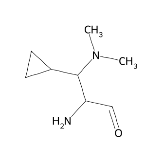 CN(C)C(C(N)C=O)C1CC1